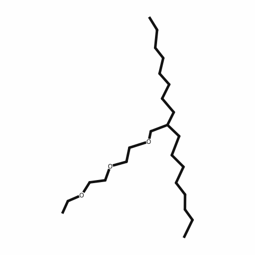 CCCCCCCCC(CCCCCCCC)COCCOCCOCC